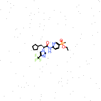 CCOP(C)(=O)c1ccc(NC(=O)[C@H](CC2CCCC2)n2cnc(C(F)(F)F)c2)nc1